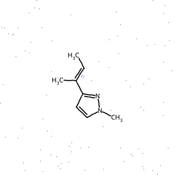 C/C=C(\C)c1ccn(C)n1